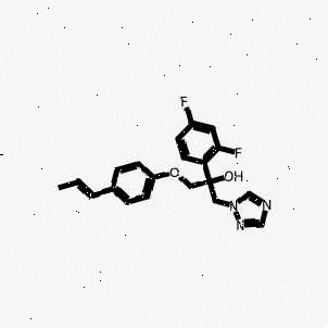 CC=Cc1ccc(OCC(O)(Cn2cncn2)c2ccc(F)cc2F)cc1